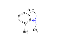 Bc1ccccc1.CCNCC